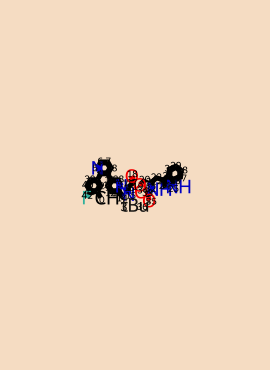 Cc1cc(-c2ncccc2-c2ccc3cnc(C(=O)OC[C@@H](Cc4c[nH]c5ccccc45)NC(=O)OC(C)(C)C)n3c2)ccc1F